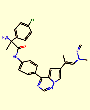 C=NN(C)/C=C(\C)c1cc2c(-c3ccc(NC(=O)C(C)(N)c4ccc(Cl)cc4)cc3)ncnn2c1